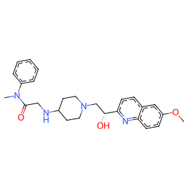 COc1ccc2nc([C@H](O)CN3CCC(NCC(=O)N(C)c4ccccc4)CC3)ccc2c1